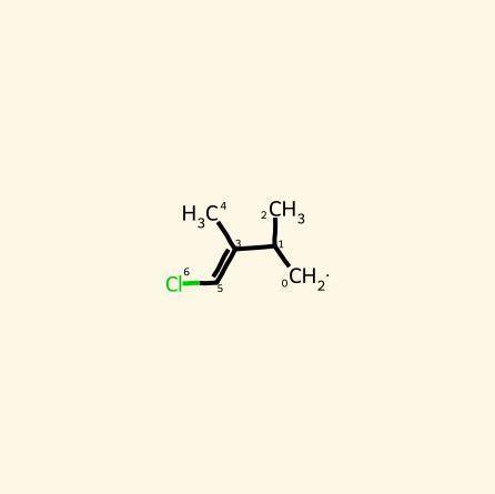 [CH2]C(C)C(C)=CCl